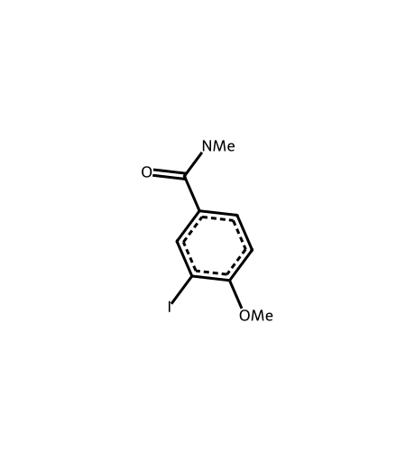 CNC(=O)c1ccc(OC)c(I)c1